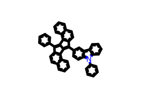 c1ccc(C2=C3C(=C(c4ccc5c(c4)c4ccccc4n5-c4ccccc4)c4ccc5ccccc5c43)c3c2ccc2ccccc32)cc1